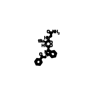 CC(C)(C)[C@H](NC(=O)c1nn(CC(=O)c2ccccc2)c2ccccc12)C(=O)NCC(N)=O